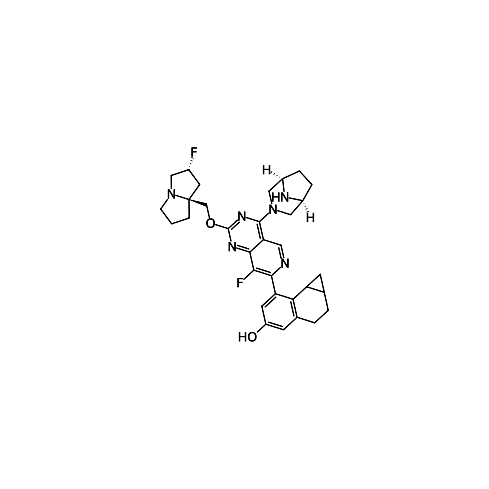 Oc1cc2c(c(-c3ncc4c(N5C[C@H]6CC[C@@H](C5)N6)nc(OC[C@@]56CCCN5C[C@H](F)C6)nc4c3F)c1)C1CC1CC2